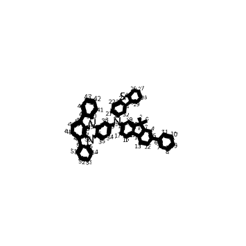 CC1(C)c2cc(-c3ccccc3)ccc2-c2ccc(N(c3ccc4sc5ccccc5c4c3)c3ccc4c(c3)n3c5ccccc5c5ccc6c7ccccc7n4c6c53)cc21